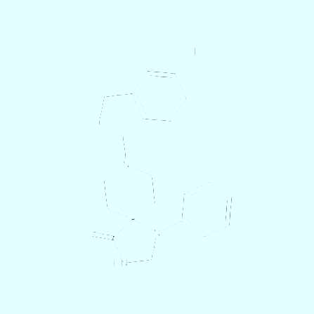 O=C1NCN(c2ccccc2)C12CCN(C1CCc3cc(Cl)ccc31)CC2